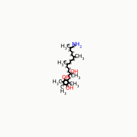 Cc1c(C)c(O)c(CCC(C)(O)CCCC(C)CCCC(C)CCCC(C)CN)c(C)c1O